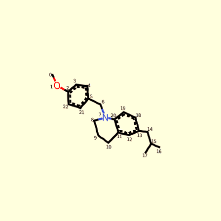 COc1ccc(CN2CCCc3cc(CC(C)C)ccc32)cc1